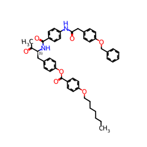 CCCCCCCOc1ccc(C(=O)Oc2ccc(C[C@H](NC(=O)c3ccc(NC(=O)Cc4ccc(OCc5ccccc5)cc4)cc3)C(C)=O)cc2)cc1